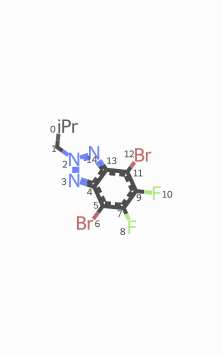 CC(C)Cn1nc2c(Br)c(F)c(F)c(Br)c2n1